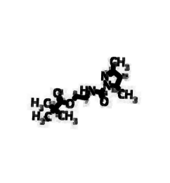 CC1=NN(C(=O)NCCOC(=O)C(C)(C)C)C(C)C1